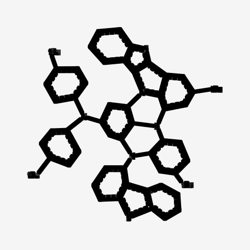 CC(C)(C)c1ccc(N(c2ccc(C(C)(C)C)cc2)c2cc3c4c(c2)-n2c5c(cc(C(C)(C)C)cc5c5sc6ccccc6c52)B4c2ccc(C(C)(C)C)cc2N3c2cccc3sc4ccccc4c23)cc1